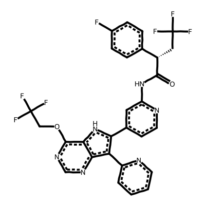 O=C(Nc1cc(-c2[nH]c3c(OCC(F)(F)F)ncnc3c2-c2ccccn2)ccn1)[C@@H](CC(F)(F)F)c1ccc(F)cc1